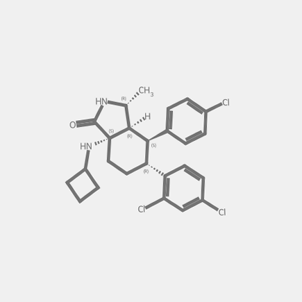 C[C@H]1NC(=O)[C@]2(NC3CCC3)CC[C@@H](c3ccc(Cl)cc3Cl)[C@H](c3ccc(Cl)cc3)[C@H]12